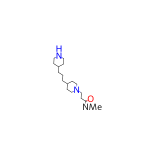 CNC(=O)CCN1CCC(CCCC2CCNCC2)CC1